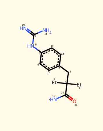 CCC(CC)(Cc1ccc(NC(=N)N)cc1)C([NH])=O